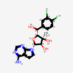 Nc1ncnc2c1ccn2[C@@H]1O[C@H](C(O)c2ccc(F)c(F)c2)[C@](O)(C(F)(F)F)[C@H]1O